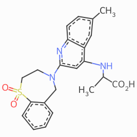 Cc1ccc2nc(N3CCS(=O)(=O)c4ccccc4C3)cc(NC(C)C(=O)O)c2c1